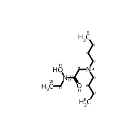 CCCCN(CCCC)CC(=O)N(O)CC